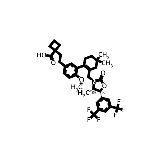 COc1ccc(CCC2(C(=O)O)CCC2)cc1C1=C(CN2C(=O)O[C@H](c3cc(C(F)(F)F)cc(C(F)(F)F)c3)[C@@H]2C)CC(C)(C)CC1